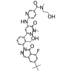 CN(CCO)C(=O)c1ccc(Nc2cc(-c3cccc(-n4ncc5cc(C(C)(C)C)cc(F)c5c4=O)c3CO)nn(C)c2=O)nc1